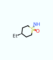 CC[C@H]1CC[S@@](=N)(=O)CC1